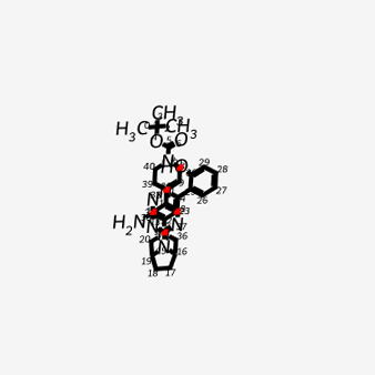 CC(C)(C)OC(=O)N1CC=C(c2cnc(N3C4CCC3CN(c3cc(-c5ccccc5O)nnc3N)C4)nc2)CC1